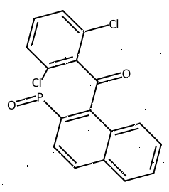 O=Pc1ccc2ccccc2c1C(=O)c1c(Cl)cccc1Cl